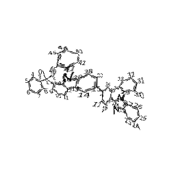 CC1(C)c2ccccc2-c2ccc3c4cc(-c5ccc(-c6nc7ccccc7n6-c6ccccc6)cc5)ccc4n(-c4ccccc4)c3c21